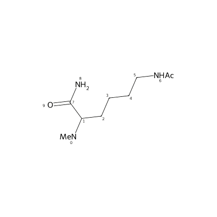 C[15NH]C(CCCCN[13C](C)=O)C(N)=O